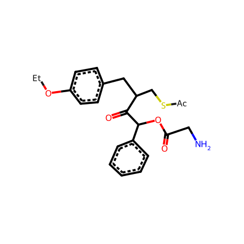 CCOc1ccc(CC(CSC(C)=O)C(=O)C(OC(=O)CN)c2ccccc2)cc1